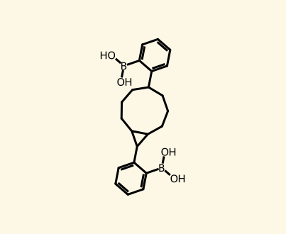 OB(O)c1ccccc1C1CCCC2C(CCC1)C2c1ccccc1B(O)O